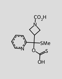 CSC(OC(O)=S)(c1ccccn1)C1CN(C(=O)O)C1